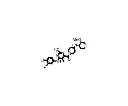 CO[C@@H]1COCC[C@@H]1NC1CCN(C(=O)c2nc(C(F)(F)F)nc(Nc3ccc(Cl)c(Cl)c3)c2C)CC1